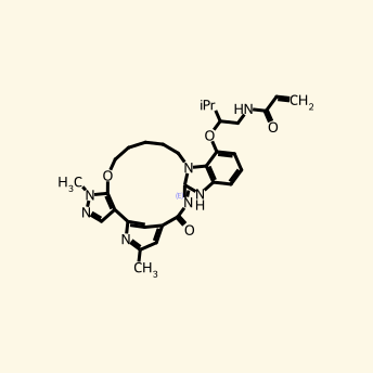 C=CC(=O)NCC(Oc1cccc2c1N1CCCCCOc3c(cnn3C)-c3cc(cc(C)n3)C(=O)/N=C/1N2)C(C)C